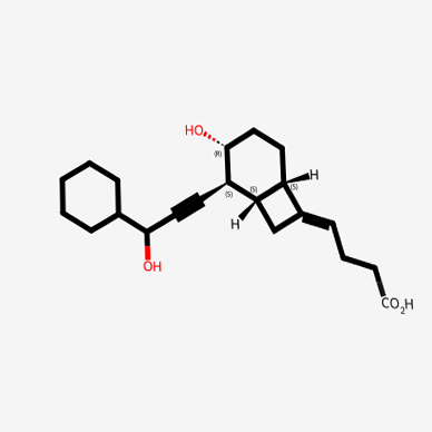 O=C(O)CCC=C1C[C@@H]2[C@@H](C#CC(O)C3CCCCC3)[C@H](O)CC[C@H]12